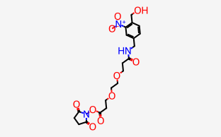 O=C(CCOCCOCCC(=O)ON1C(=O)CCC1=O)NCc1ccc(CO)c([N+](=O)[O-])c1